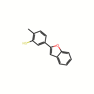 Cc1ccc(-c2cc3ccccc3o2)cc1S